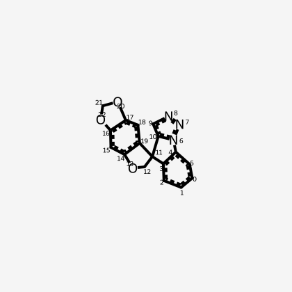 c1ccc2c(c1)-n1nncc1C21COc2cc3c(cc21)OCO3